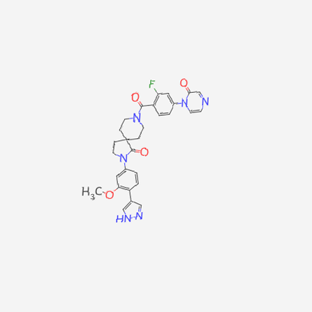 COc1cc(N2CCC3(CCN(C(=O)c4ccc(-n5ccncc5=O)cc4F)CC3)C2=O)ccc1-c1cn[nH]c1